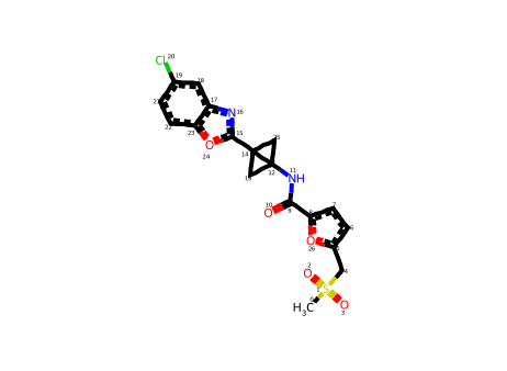 CS(=O)(=O)Cc1ccc(C(=O)NC23CC2(c2nc4cc(Cl)ccc4o2)C3)o1